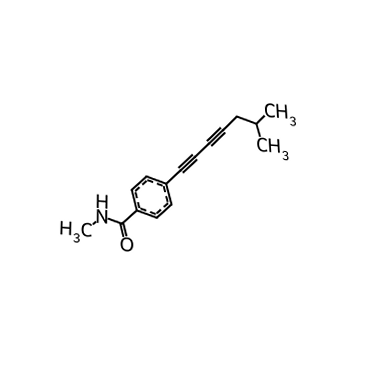 CNC(=O)c1ccc(C#CC#CCC(C)C)cc1